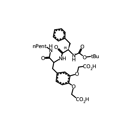 CCCCCNC(=O)C(Cc1ccc(OCC(=O)O)c(OCC(=O)O)c1)NC(=O)[C@@H](Cc1ccccc1)NC(=O)OC(C)(C)C